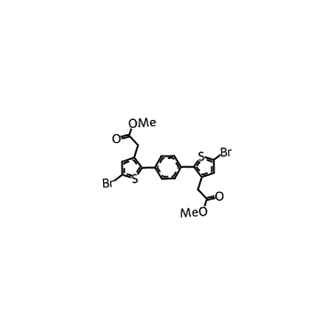 COC(=O)Cc1cc(Br)sc1-c1ccc(-c2sc(Br)cc2CC(=O)OC)cc1